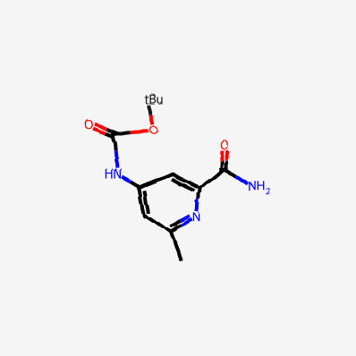 Cc1cc(NC(=O)OC(C)(C)C)cc(C(N)=O)n1